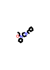 CCC(=O)N(c1ccccc1)C1CCN(C(C)Cc2ccccc2)CC1